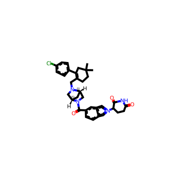 CC1(C)CCC(CN2C[C@@H]3C[C@H]2CN3C(=O)c2ccc3cn(C4CCC(=O)NC4=O)cc3c2)=C(c2ccc(Cl)cc2)C1